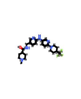 CN1CCC(C(=O)NCc2ccc(Nc3ccc(N4CCC(C(F)(F)F)CC4)nc3)nc2)CC1